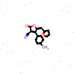 Cc1ccc(C2=C(C#N)C(=O)O/C2=C/c2ccco2)cc1